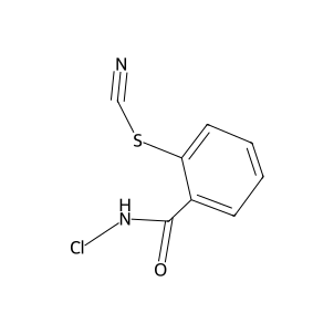 N#CSc1ccccc1C(=O)NCl